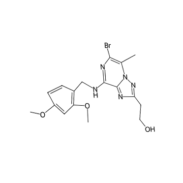 COc1ccc(CNc2nc(Br)c(C)n3nc(CCO)nc23)c(OC)c1